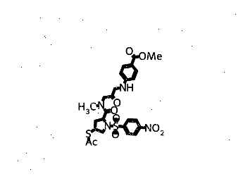 COC(=O)c1ccc(NCC(=O)CN(C)C(=O)C2CC(SC(C)=O)CN2S(=O)(=O)c2ccc([N+](=O)[O-])cc2)cc1